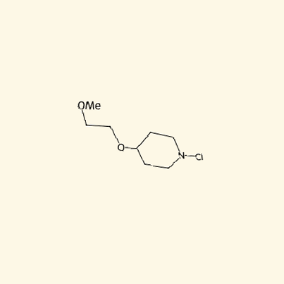 COCCOC1CCN(Cl)CC1